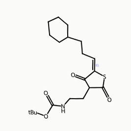 CC(C)(C)OC(=O)NCCC1C(=O)S/C(=C/CCC2CCCCC2)C1=O